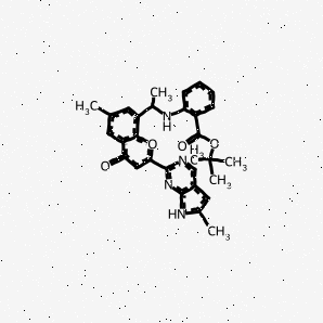 Cc1cc(C(C)Nc2ccccc2C(=O)OC(C)(C)C)c2oc(-c3ncc4cc(C)[nH]c4n3)cc(=O)c2c1